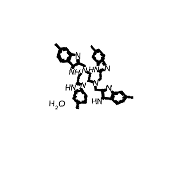 Cc1ccc2c(c1)N=C(CN(CCN(CC1=Nc3cc(C)ccc3C1=N)Cc1nc3ccc(C)cc3[nH]1)Cc1nc3ccc(C)cc3[nH]1)C2=N.O